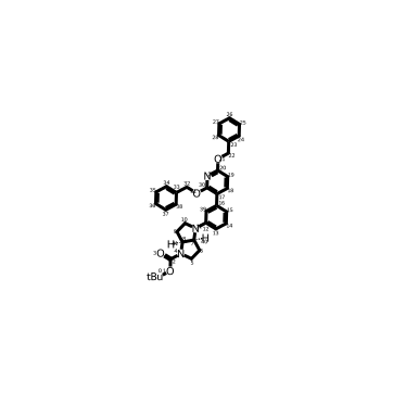 CC(C)(C)OC(=O)N1CC[C@H]2[C@@H]1CCN2c1cccc(-c2ccc(OCc3ccccc3)nc2OCc2ccccc2)c1